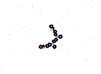 c1ccc(N(c2ccc3cc(-c4cc5ccccc5o4)ccc3c2)c2ccc3cc(N(c4ccccc4)c4ccc5cc(-c6cc7ccccc7o6)ccc5c4)ccc3c2)cc1